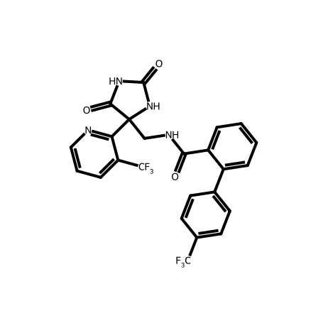 O=C1NC(=O)C(CNC(=O)c2ccccc2-c2ccc(C(F)(F)F)cc2)(c2ncccc2C(F)(F)F)N1